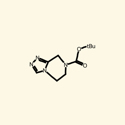 CC(C)(C)OC(=O)N1CCn2cnnc2C1